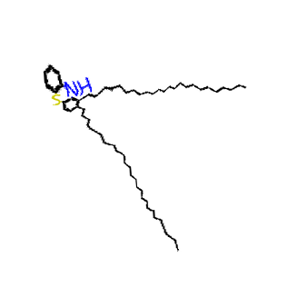 CCCCCCCCCCCCCCCCCCCCCCCCc1ccc2c(c1CCCCCCCCCCCCCCCCCCCCCCCC)Nc1ccccc1S2